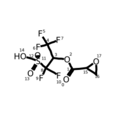 O=C(OC(C(F)(F)F)C(F)(F)S(=O)(=O)O)C1CO1